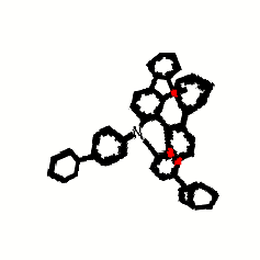 CC1(C)c2ccccc2-c2ccc(N(c3ccc(C4CCCCC4)cc3)c3ccc(C4CC5CCC4CC5)cc3)c(-c3ccccc3-c3ccccc3)c21